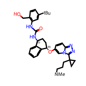 CNCCCC1(c2nnc3ccc(O[C@@H]4CC[C@H](NC(=O)Nc5cc(C(C)(C)C)ccc5CO)c5ccccc54)cn23)CC1